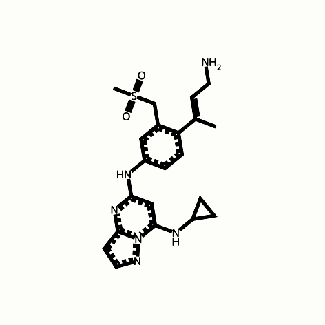 C/C(=C\CN)c1ccc(Nc2cc(NC3CC3)n3nccc3n2)cc1CS(C)(=O)=O